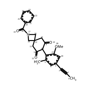 CC#Cc1cc(C)c(C2C(=O)CC3(CC2=O)CN(C(=O)c2ccccc2)C3)c(OC)c1